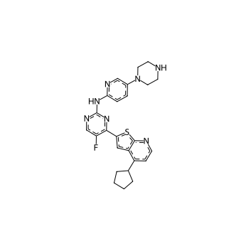 Fc1cnc(Nc2ccc(N3CCNCC3)cn2)nc1-c1cc2c(C3CCCC3)ccnc2s1